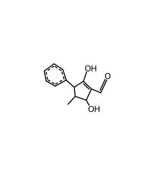 CC1C(O)C(C=O)=C(O)C1c1ccccc1